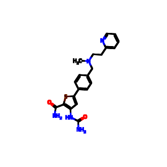 CN(CCc1ccccn1)Cc1ccc(-c2cc(NC(N)=O)c(C(N)=O)s2)cc1